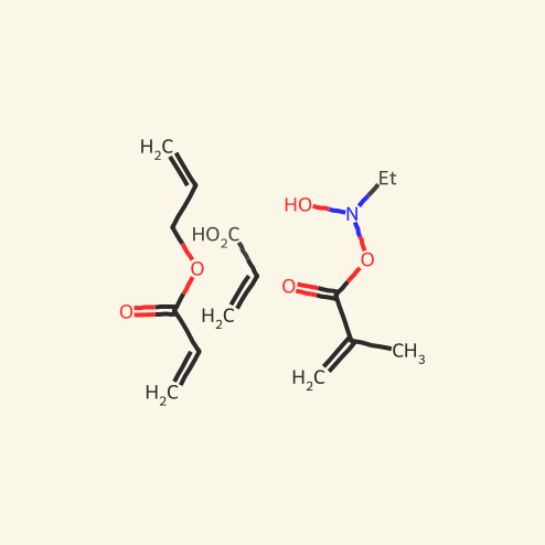 C=C(C)C(=O)ON(O)CC.C=CC(=O)O.C=CCOC(=O)C=C